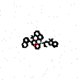 C/C=C(\C=C1/Cc2ccccc2C1(C)C)N(c1ccccc1)c1ccc2cccc3c2c1-c1cccc(-c2cccc4c2CCC=C4)c1C3(C)C